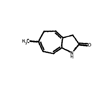 CC1=CC=C2NC(=O)CC2=CC1